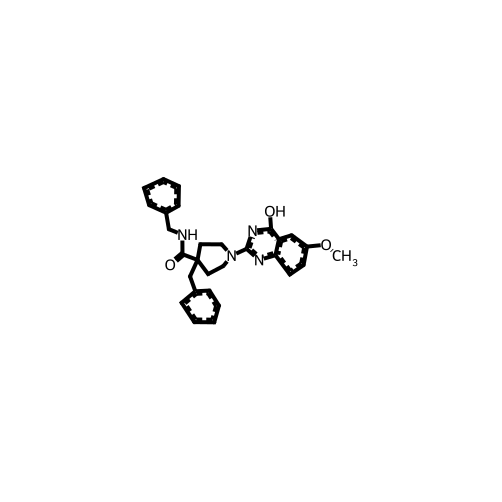 COc1ccc2nc(N3CCC(Cc4ccccc4)(C(=O)NCc4ccccc4)CC3)nc(O)c2c1